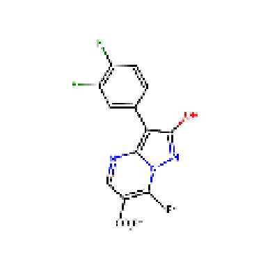 CCOC(=O)c1cnc2c(-c3ccc(F)c(F)c3)c(O)nn2c1C(C)C